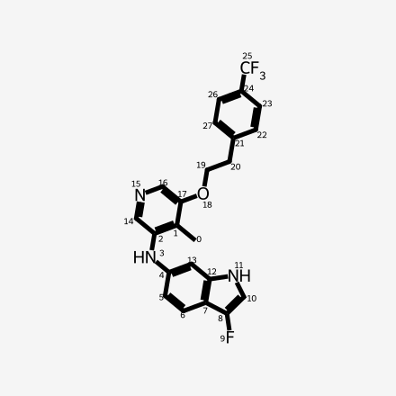 Cc1c(Nc2ccc3c(F)c[nH]c3c2)cncc1OCCc1ccc(C(F)(F)F)cc1